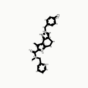 Cc1c(C(=O)N(C)Cc2ccccn2)oc2c1-c1nn(Cc3ccc(Cl)cc3)cc1CC2